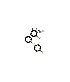 [CH3][Sn+3].[S-]c1ccccc1.[S-]c1ccccc1.[S-]c1ccccc1